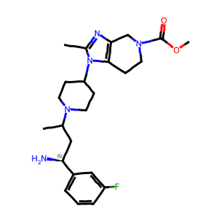 COC(=O)N1CCc2c(nc(C)n2C2CCN(C(C)C[C@H](N)c3cccc(F)c3)CC2)C1